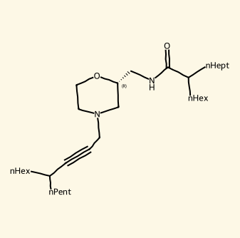 CCCCCCCC(CCCCCC)C(=O)NC[C@@H]1CN(CC#CC(CCCCC)CCCCCC)CCO1